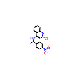 CC(Nc1cc(Cl)nc2ccccc12)c1ccc([N+](=O)[O-])cc1